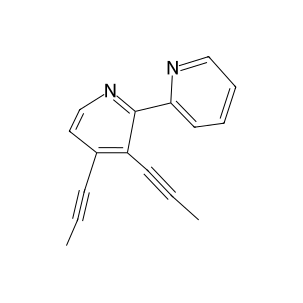 CC#Cc1ccnc(-c2ccccn2)c1C#CC